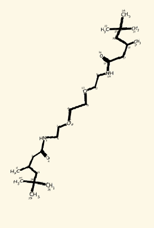 CC(CC(=O)NCCOCCOCCNC(=O)CC(C)CC(C)(C)C)CC(C)(C)C